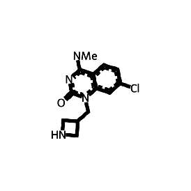 CNc1nc(=O)n(CC2CNC2)c2cc(Cl)ccc12